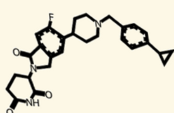 O=C1CCC(N2Cc3cc(C4CCN(Cc5ccc(C6CC6)cc5)CC4)c(F)cc3C2=O)C(=O)N1